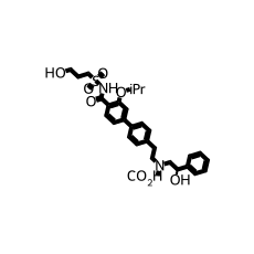 CC(C)Oc1cc(-c2ccc(CCN(C[C@H](O)c3ccccc3)C(=O)O)cc2)ccc1C(=O)NS(=O)(=O)CCCO